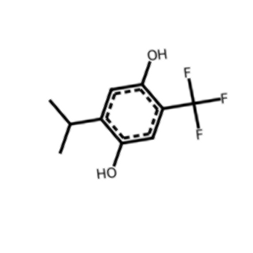 CC(C)c1cc(O)c(C(F)(F)F)cc1O